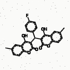 Cc1ccc2oc(=O)c(C(c3ccc(F)cc3)c3c(O)c4cc(C)ccc4oc3=O)c(O)c2c1